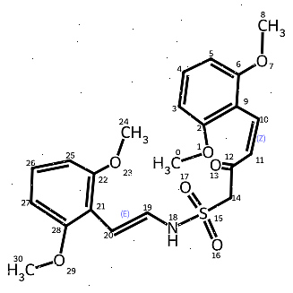 COc1cccc(OC)c1/C=C\C(=O)CS(=O)(=O)N/C=C/c1c(OC)cccc1OC